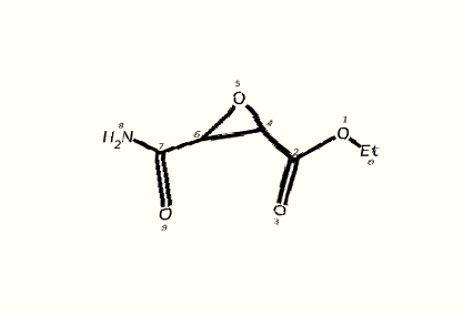 CCOC(=O)C1OC1C(N)=O